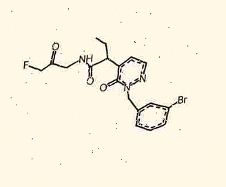 CCC(C(=O)NCC(=O)CF)c1ccnn(Cc2cccc(Br)c2)c1=O